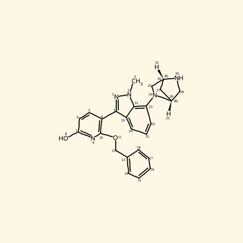 Cn1nc(-c2ccc(O)nc2OCc2ccccc2)c2cccc(N3C[C@H]4C[C@@H]3CN4)c21